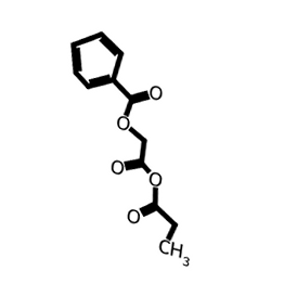 CCC(=O)OC(=O)COC(=O)c1ccccc1